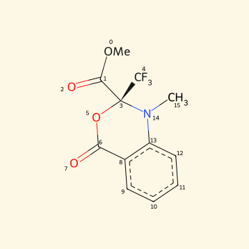 COC(=O)[C@@]1(C(F)(F)F)OC(=O)c2ccccc2N1C